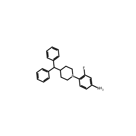 Nc1ccc(N2CCC(C(c3ccccc3)c3ccccc3)CC2)c(F)c1